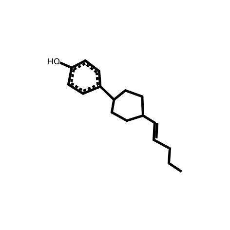 CCC/C=C/C1CCC(c2ccc(O)cc2)CC1